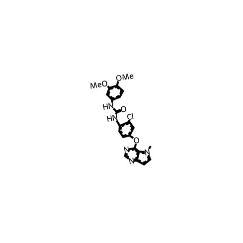 COc1ccc(NC(=O)Nc2ccc(Oc3ncnc4ccn(C)c34)cc2Cl)cc1OC